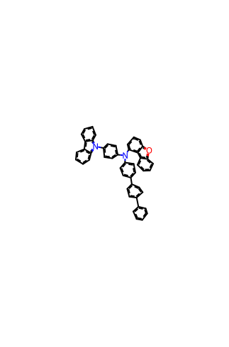 c1ccc(-c2ccc(-c3ccc(N(c4ccc(-n5c6ccccc6c6ccccc65)cc4)c4cccc5oc6ccccc6c45)cc3)cc2)cc1